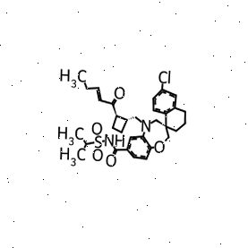 CC/C=C/C(=O)[C@@H]1CC[C@H]1CN1C[C@@]2(CCCc3cc(Cl)ccc32)COc2ccc(C(=O)NS(=O)(=O)C(C)C)cc21